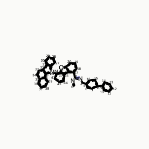 C=N/C(=N\Cc1ccc(-c2ccccc2)cc1)c1cccc2oc3c(-n4c5ccccc5c5ccc6ccccc6c54)cccc3c12